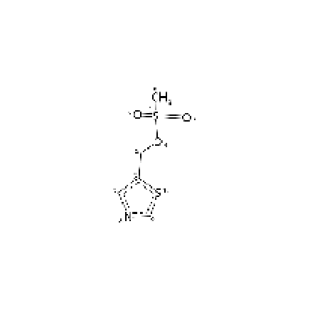 CS(=O)(=O)OCc1cncs1